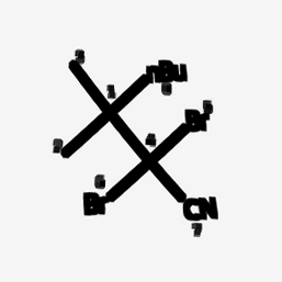 CCCCC(C)(C)C(Br)(Br)C#N